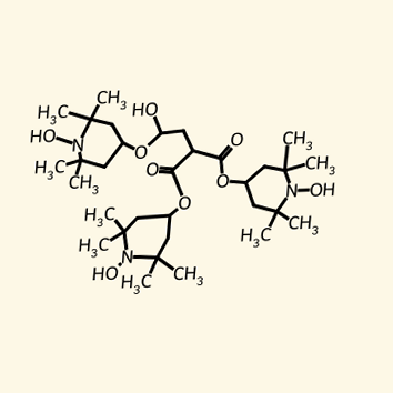 CC1(C)CC(OC(=O)C(CC(O)OC2CC(C)(C)N(O)C(C)(C)C2)C(=O)OC2CC(C)(C)N(O)C(C)(C)C2)CC(C)(C)N1O